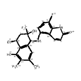 CC[C@H]1CC(O)(C(F)(F)F)[C@@H](Nc2ccc(F)c3[nH]c(=O)ccc23)c2cc(C)c(C)c(O)c21